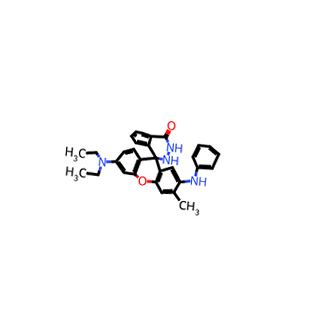 CCN(CC)c1ccc2c(c1)Oc1cc(C)c(Nc3ccccc3)cc1C21NNC(=O)c2ccccc21